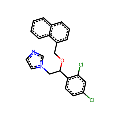 Clc1ccc(C(Cn2ccnc2)OCc2cccc3ccccc23)c(Cl)c1